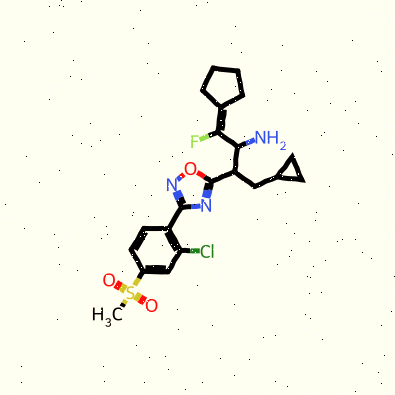 CS(=O)(=O)c1ccc(-c2noc(C(CC3CC3)C(N)C(F)=C3CCCC3)n2)c(Cl)c1